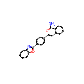 NC(=O)c1ccccc1C=Cc1ccc(-c2nc3ccccc3o2)cc1